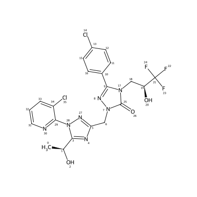 C[C@H](O)c1nc(Cn2nc(-c3ccc(Cl)cc3)n(C[C@H](O)C(F)(F)F)c2=O)nn1-c1ncccc1Cl